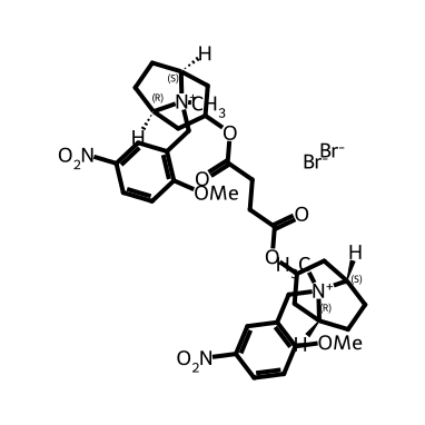 COc1ccc([N+](=O)[O-])cc1C[N+]1(C)[C@@H]2CC[C@H]1CC(OC(=O)CCC(=O)OC1C[C@H]3CC[C@@H](C1)[N+]3(C)Cc1cc([N+](=O)[O-])ccc1OC)C2.[Br-].[Br-]